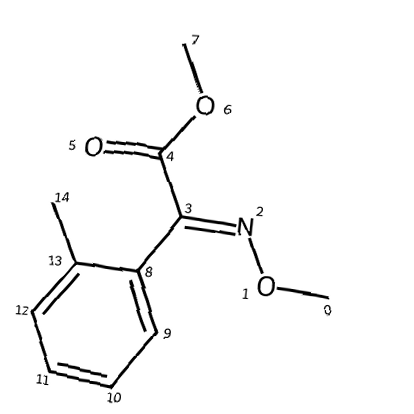 CO/N=C(/C(=O)OC)c1ccccc1C